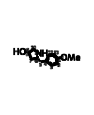 COc1ccc(C[C@@H]2C[C@H](O)CN2)cc1